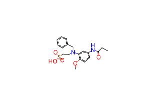 CCC(=O)Nc1ccc(OC)c(N(CCS(=O)(=O)O)Cc2ccccc2)c1